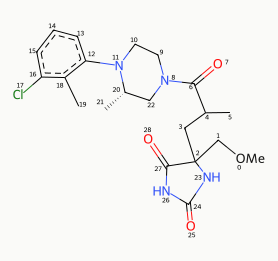 COCC1(CC(C)C(=O)N2CCN(c3cccc(Cl)c3C)[C@@H](C)C2)NC(=O)NC1=O